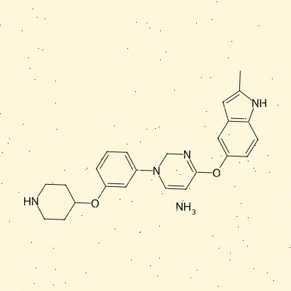 Cc1cc2cc(OC3=NCN(c4cccc(OC5CCNCC5)c4)C=C3)ccc2[nH]1.N